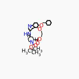 CC(C)(C)OC(=O)N1CC[C@H]2C[C@H]1C(=O)OCCCOc1c(OCc3ccccc3)ccc3ncc(cc13)N2